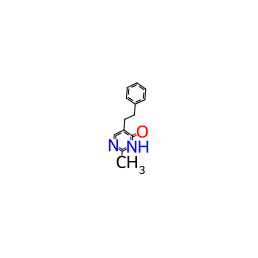 Cc1ncc(CCc2ccccc2)c(=O)[nH]1